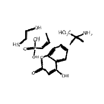 C/C=C\P(=O)(O)O.CC(C)(N)C(=O)O.O=c1cc(O)c2ccccc2o1.OCCS